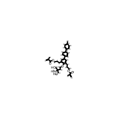 C=C(C)C(=O)OCCCc1cc(-c2ccc(-c3ccc(C)cc3)cc2)cc(CCCOC(=O)C(=C)C)c1OCCC(CO)(CO)CCCC